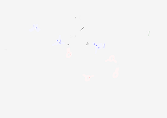 CC1C2Cc3ncc(C(F)(F)F)cc3CN2C(=O)[C@]12CC[C@@H](NC1CCOCC1OC(=O)c1cccc(Cl)c1)C2